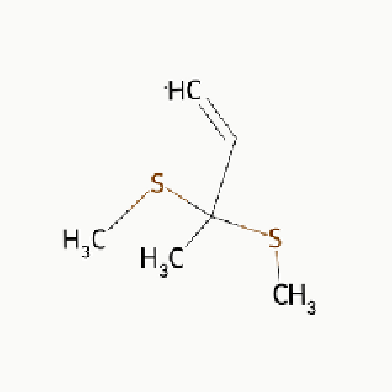 [CH]=CC(C)(SC)SC